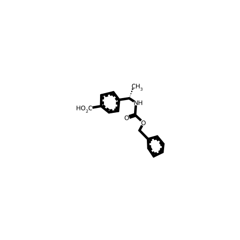 C[C@H](NC(=O)OCc1ccccc1)c1ccc(C(=O)O)cc1